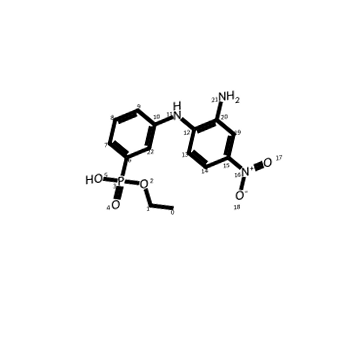 CCOP(=O)(O)c1cccc(Nc2ccc([N+](=O)[O-])cc2N)c1